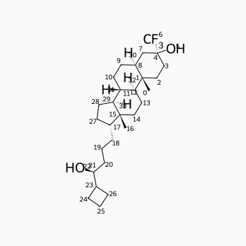 C[C@]12CC[C@@](O)(C(F)(F)F)C[C@@H]1CC[C@@H]1[C@@H]2CC[C@]2(C)[C@H](CCC[C@H](O)C3CCC3)CC[C@@H]12